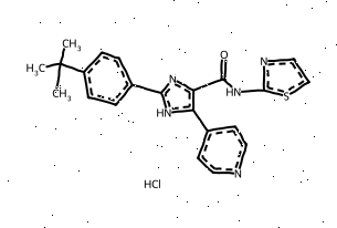 CC(C)(C)c1ccc(-c2nc(C(=O)Nc3nccs3)c(-c3ccncc3)[nH]2)cc1.Cl